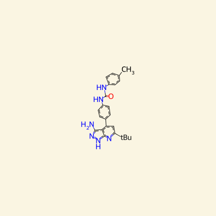 Cc1ccc(NC(=O)Nc2ccc(-c3cc(C(C)(C)C)nc4[nH]nc(N)c34)cc2)cc1